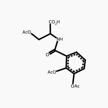 CC(=O)OCC(NC(=O)c1cccc(OC(C)=O)c1OC(C)=O)C(=O)O